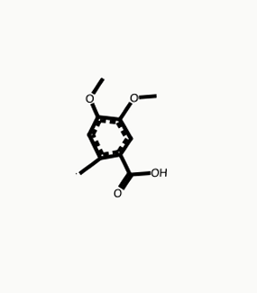 [CH2]c1cc(OC)c(OC)cc1C(=O)O